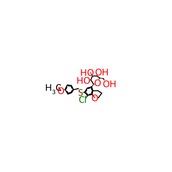 COc1ccc(CSc2cc([C@@H]3O[C@H](CO)[C@@H](O)[C@H](O)[C@H]3O)c3c(c2Cl)OCCC3)cc1